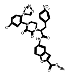 CC(C)(C)OC(=O)c1cc2cc(NC(=O)C(Cc3ccc([N+](=O)[O-])cc3)N3CCN(c4cc(Cl)ccc4-n4cnnn4)C(=O)C3=O)ccc2o1